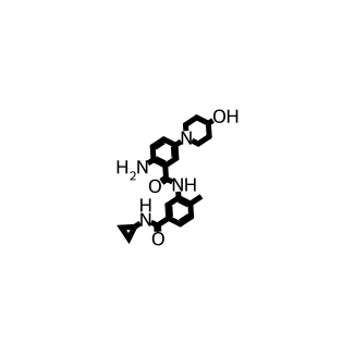 Cc1ccc(C(=O)NC2CC2)cc1NC(=O)c1cc(N2CCC(O)CC2)ccc1N